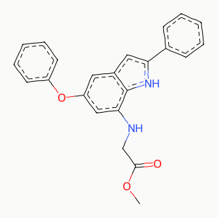 COC(=O)CNc1cc(Oc2ccccc2)cc2cc(-c3ccccc3)[nH]c12